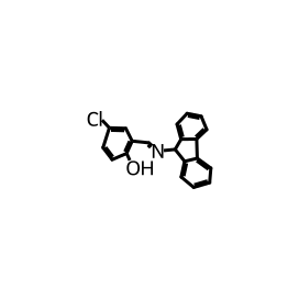 Oc1ccc(Cl)cc1C=NC1c2ccccc2-c2ccccc21